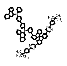 CC(C)(C)c1ccc(-c2ncc(-c3ccc4c(c3)C3(c5cc(-c6cnc(-c7ccc(C(C)(C)C)cc7)nc6)ccc5-4)c4ccccc4-c4c(-c5cccc(N(c6ccc(-c7ccc(N(c8ccccc8)c8cc9ccccc9c9ccccc89)cc7)cc6)c6cc7ccccc7c7ccccc67)c5)cccc43)cn2)cc1